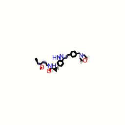 C#C/C=C(\C=C/CNC(=O)[C@@H]1C[C@H]1c1ccc2c(/C=C/c3ccc(CN4C[C@@H](C)O[C@@H](C)C4)cc3)n[nH]c2c1)OC